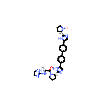 BN1CCC[C@H]1c1ncc(-c2ccc(-c3ccc(-c4cnc([C@@H]5CCCN5C(=O)[C@H](NC5=NCCN5)C(C)C)[nH]4)cc3)cc2)[nH]1